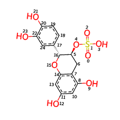 O=S(=O)(O)O[C@H]1Cc2c(O)cc(O)cc2O[C@@H]1c1ccc(O)c(O)c1